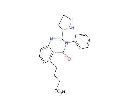 O=C(O)CCCc1cccc2nc(C3CCCN3)n(-c3ccccc3)c(=O)c12